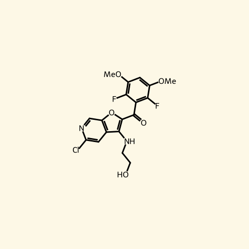 COc1cc(OC)c(F)c(C(=O)c2oc3cnc(Cl)cc3c2NCCO)c1F